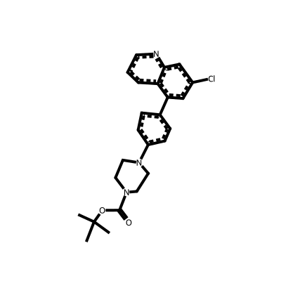 CC(C)(C)OC(=O)N1CCN(c2ccc(-c3cc(Cl)cc4ncccc34)cc2)CC1